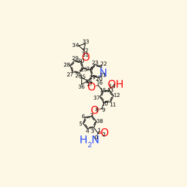 NC(=O)c1cccc(OCc2ccc(O)c(COC3(c4cnccc4-c4ccccc4OC4CC4)CC3)c2)c1